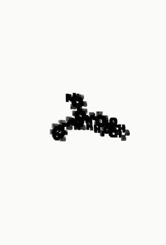 CC(C)(C)C(=O)N1CCC(CNc2cc(-c3ccnc(F)c3)cc3c2cnn3CCCN2CCOCC2)CC1